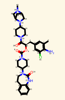 Cc1cc(C[C@@H](OC(=O)N2CCC(N3CCc4ccccc4NC3=O)CC2)C(=O)N2CCC(N3CC4CC3CN4C)CC2)cc(Cl)c1N